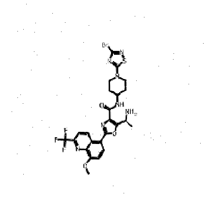 COc1ccc(-c2nc(C(=O)NC3CCN(c4nc(Br)ns4)CC3)c([C@H](C)N)o2)c2ccc(C(F)(F)F)nc12